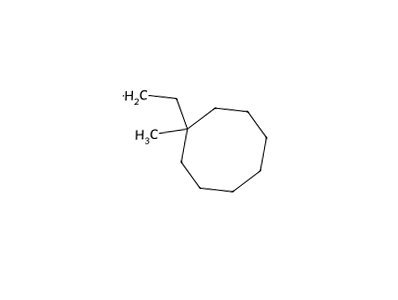 [CH2]CC1(C)CCCCCCC1